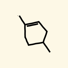 [CH2]C1=CCC(C)CC1